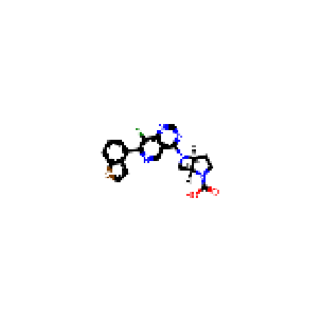 O=C(O)N1CC[C@@H]2[C@H]1CN2c1ncnc2c(F)c(-c3cccc4sccc34)ncc12